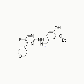 CCOC1=CC(/C=N\Nc2ncc(F)c(N3CCOCC3)n2)CC=C1O